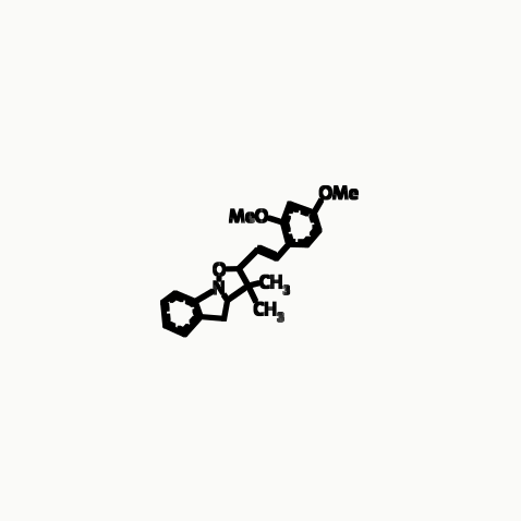 COc1ccc(C=CC2ON3c4ccccc4CC3C2(C)C)c(OC)c1